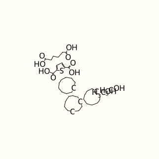 C1CCCCCCCCC1.C1CCCCCCCCC1.C1CCCCCCCCC1.CO.CO.O=C(O)CCCCC(=O)O.O=C(O)c1ccc(C(=O)O)s1